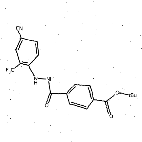 CC(C)(C)OC(=O)c1ccc(C(=O)NNc2ccc(C#N)cc2C(F)(F)F)cc1